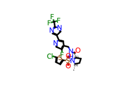 C[C@H]1CC[C@@H](C(=O)NCc2cc(-c3cnc(C(F)(F)F)nc3)ncc2F)N1S(=O)(=O)c1ccc(Cl)s1